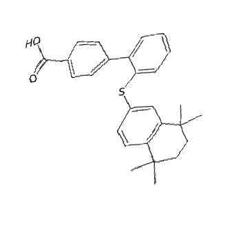 CC1(C)CCC(C)(C)c2cc(Sc3ccccc3-c3ccc(C(=O)O)cc3)ccc21